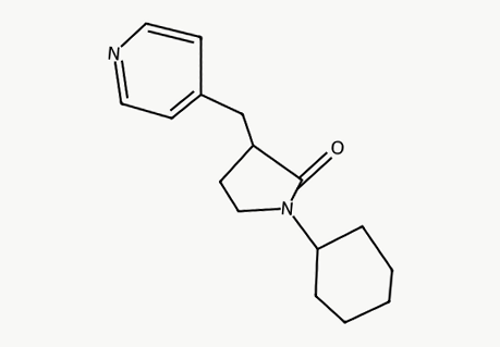 O=C1C(Cc2ccncc2)CCN1C1CCCCC1